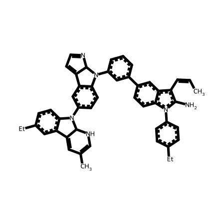 C/C=C\c1c(N)n(-c2ccc(CC)cc2)c2ccc(-c3cccc(N4c5ccc(N6c7ccc(CC)cc7C7=CC(C)=CNC76)cc5C5=CC=NC54)c3)cc12